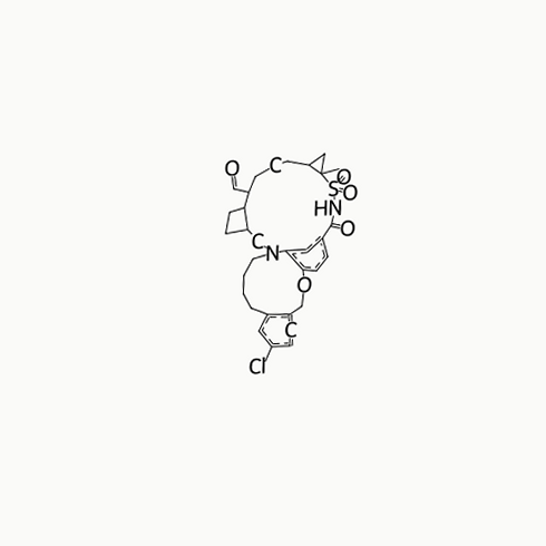 CC12CC1CCCC(C=O)C1CCC1CN1CCCCc3cc(Cl)ccc3COc3ccc(cc31)C(=O)NS2(=O)=O